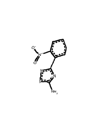 Nc1nc(-c2ccccc2[N+](=O)[O-])ns1